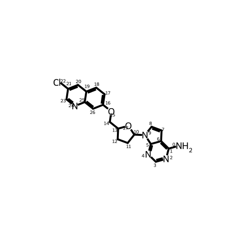 Nc1ncnc2c1ccn2C1CCC(COc2ccc3cc(Cl)cnc3c2)O1